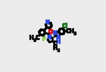 Cc1cc2[nH]c([C@@H]3[C@@H](C)CCN3C(=O)c3c(-c4cccnc4)ccc(C)c3F)nc2cc1Cl